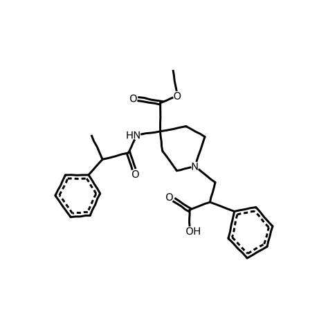 COC(=O)C1(NC(=O)C(C)c2ccccc2)CCN(CC(C(=O)O)c2ccccc2)CC1